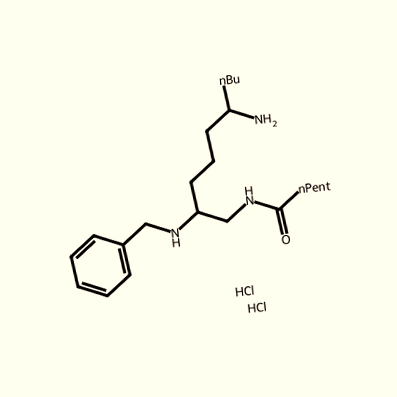 CCCCCC(=O)NCC(CCCC(N)CCCC)NCc1ccccc1.Cl.Cl